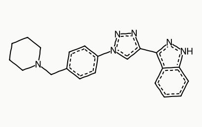 c1ccc2c(-c3cn(-c4ccc(CN5CCCCC5)cc4)nn3)n[nH]c2c1